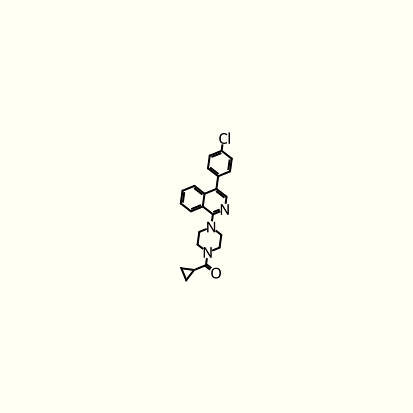 O=C(C1CC1)N1CCN(c2ncc(-c3ccc(Cl)cc3)c3ccccc23)CC1